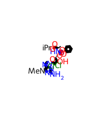 CNc1nc(N)nc2c1ncn2[C@@H]1O[C@H](COP(=O)(N[C@H](C)C(=O)OC(C)C)Oc2ccccc2)[C@@H](O)C1(Cl)Cl